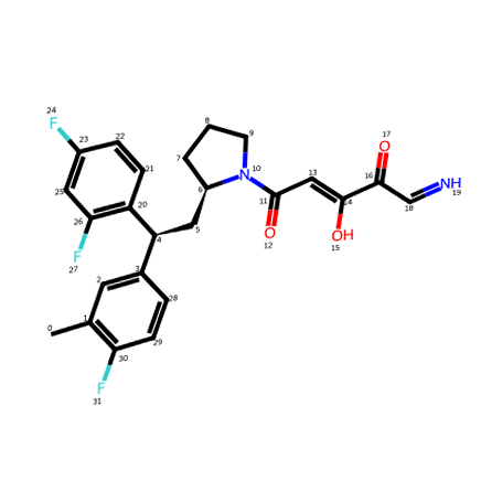 Cc1cc([C@H](C[C@H]2CCCN2C(=O)/C=C(\O)C(=O)C=N)c2ccc(F)cc2F)ccc1F